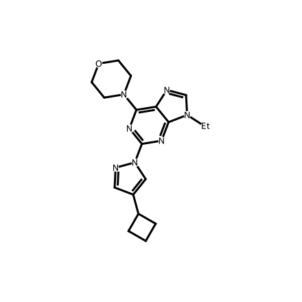 CCn1cnc2c(N3CCOCC3)nc(-n3cc(C4CCC4)cn3)nc21